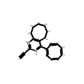 C#Cc1nc2c(c(C3=C/C=C\C=C/C=C\3)n1)CCCCCC2